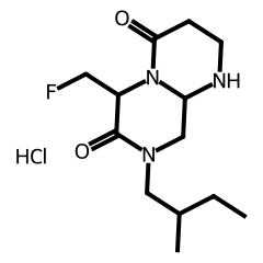 CCC(C)CN1CC2NCCC(=O)N2C(CF)C1=O.Cl